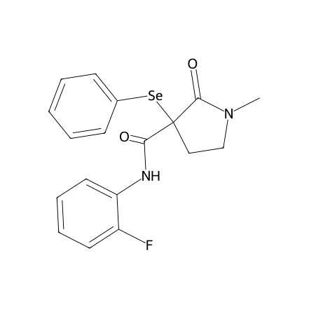 CN1CCC([Se]c2ccccc2)(C(=O)Nc2ccccc2F)C1=O